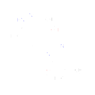 Cc1n[nH]c(C)c1-c1ccn2c(=O)c(C(C)C)cnc2c1O